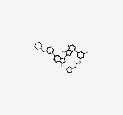 Fc1cc(OCCN2CCCC2)cc(-c2ccnc3[nH]c(-c4n[nH]c5ncc(-c6cncc(CN7CCCCC7)c6)cc45)cc23)c1